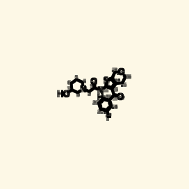 O=C(CN1CCCC(O)C1)Nc1sc2c(c1C(=O)c1cccc(F)c1)CCOC2